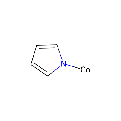 [Co][n]1cccc1